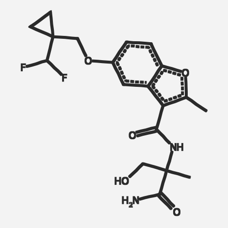 Cc1oc2ccc(OCC3(C(F)F)CC3)cc2c1C(=O)NC(C)(CO)C(N)=O